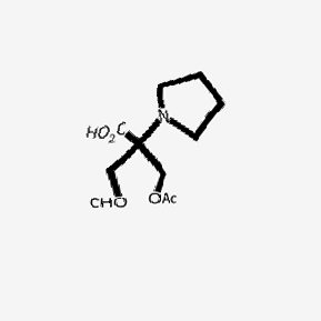 CC(=O)OCC(CC=O)(C(=O)O)N1CCCC1